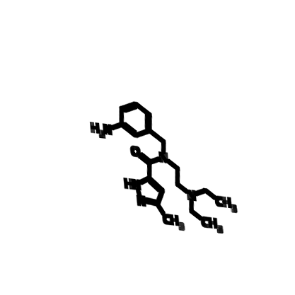 CCN(CC)CCN(Cc1cccc(N)c1)C(=O)c1cc(C)n[nH]1